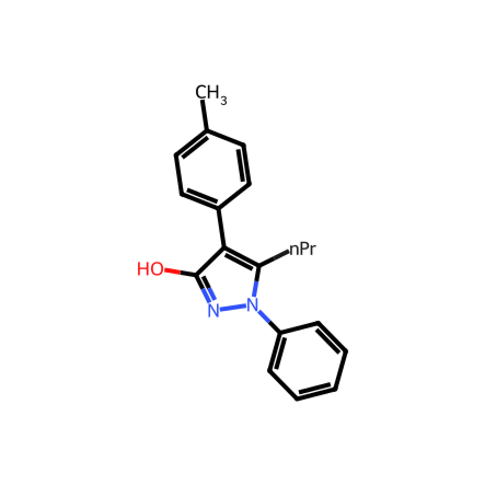 CCCc1c(-c2ccc(C)cc2)c(O)nn1-c1ccccc1